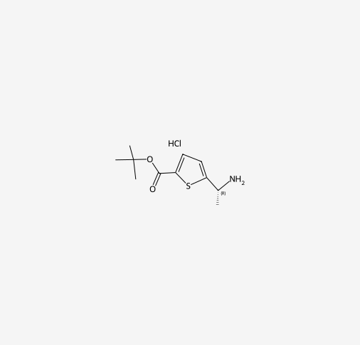 C[C@@H](N)c1ccc(C(=O)OC(C)(C)C)s1.Cl